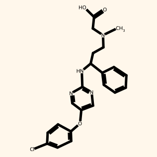 CN(CCC(Nc1ncc(Oc2ccc(Cl)cc2)cn1)c1ccccc1)CC(=O)O